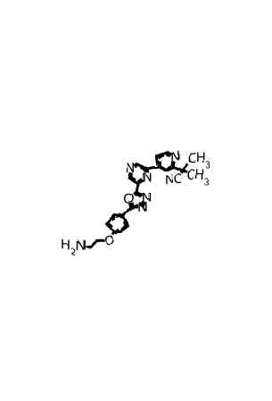 CC(C)(C#N)c1cc(-c2cncc(-c3nnc(-c4ccc(OCCN)cc4)o3)n2)ccn1